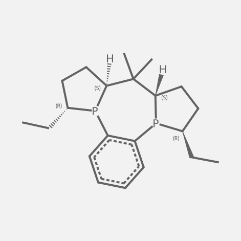 CC[C@@H]1CC[C@@H]2P1c1ccccc1P1[C@H](CC)CC[C@H]1C2(C)C